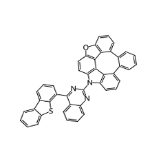 c1ccc2c(-c3cccc4c3sc3ccccc34)nc(-n3c4cccc5c6ccccc6c6cccc7oc8ccc3c(c8c76)c54)nc2c1